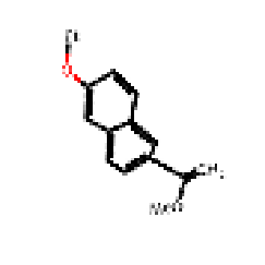 C=C(OC)c1ccc2cc(OCC)ccc2c1